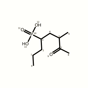 CCCC(CC(C)C(C)=O)P(=O)(O)O